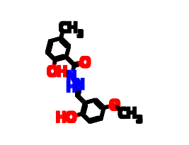 COc1ccc(O)c(C=NNC(=O)c2cc(C)ccc2O)c1